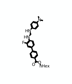 CCCCCCOC(=O)c1ccc(-c2ccc(NCNc3ccc(N(C)C)cc3)c(F)c2)cc1